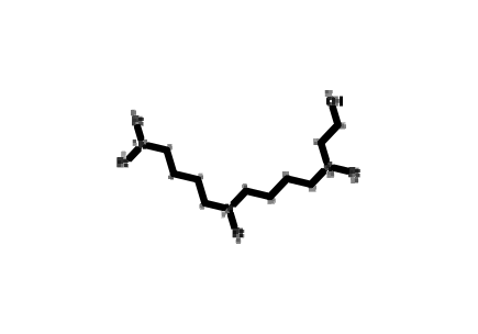 CCN(CC)CCCCN(CC)CCCCN(CC)CCO